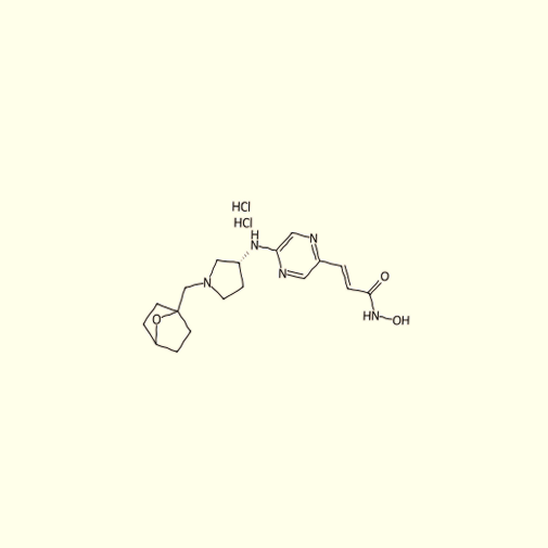 Cl.Cl.O=C(C=Cc1cnc(N[C@@H]2CCN(CC34CCC(CC3)O4)C2)cn1)NO